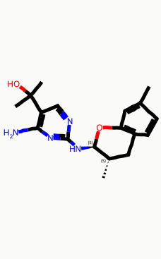 Cc1ccc2c(c1)O[C@H](Nc1ncc(C(C)(C)O)c(N)n1)[C@@H](C)C2